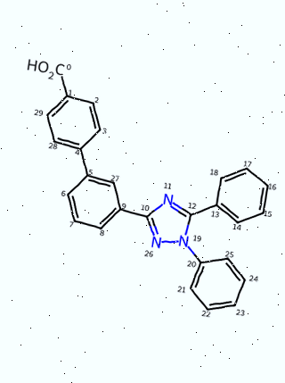 O=C(O)c1ccc(-c2cccc(-c3nc(-c4ccccc4)n(-c4ccccc4)n3)c2)cc1